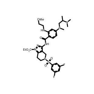 CCOC(=O)n1nc(NC(=O)c2ccc(N(C)CC(C)N(C)C)cc2NCCOC)c2c1CCN(S(=O)(=O)c1cc(F)cc(F)c1)C2